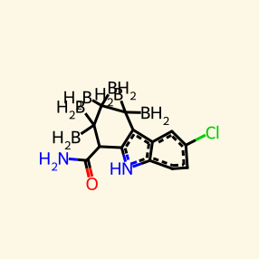 BC1(B)c2c([nH]c3ccc(Cl)cc23)C(C(N)=O)C(B)(B)C1(B)B